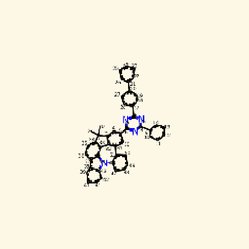 CC1(C)c2cc(-c3nc(-c4ccccc4)nc(-c4ccc(-c5ccccc5)cc4)n3)cc3c2-c2c1ccc1c4ccccc4n(c21)-c1ccccc1-3